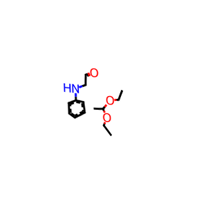 CCOC(C)OCC.O=CCNc1ccccc1